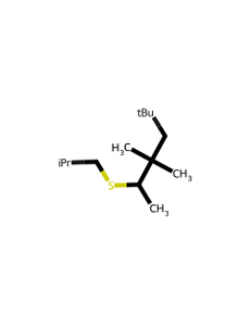 CC(C)CSC(C)C(C)(C)CC(C)(C)C